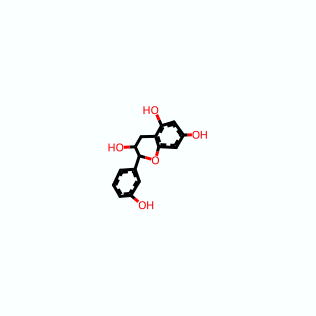 Oc1cccc(C2Oc3cc(O)cc(O)c3CC2O)c1